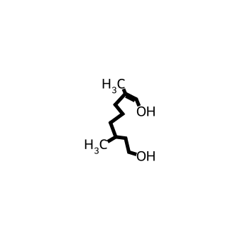 CC(=CO)CCCC(C)CCO